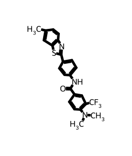 Cc1ccc2nc(-c3ccc(NC(=O)c4ccc(N(C)C)c(C(F)(F)F)c4)cc3)sc2c1